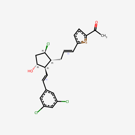 CC(=O)c1ccc(/C=C/C[C@@H]2[C@@H](/C=C/c3cc(Cl)cc(Cl)c3)[C@H](O)C[C@H]2Cl)s1